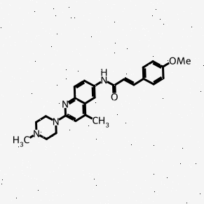 COc1ccc(C=CC(=O)Nc2ccc3nc(N4CCN(C)CC4)cc(C)c3c2)cc1